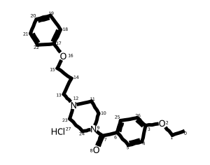 CCOc1ccc(C(=O)N2CCN(CCCOc3ccccc3)CC2)cc1.Cl